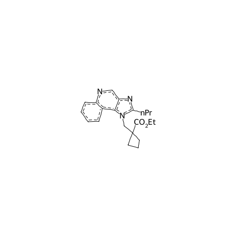 CCCc1nc2cnc3ccccc3c2n1CC1(C(=O)OCC)CCC1